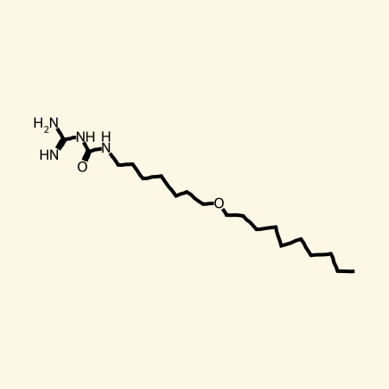 CCCCCCCCCCOCCCCCCCNC(=O)NC(=N)N